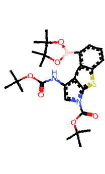 CC(C)(C)OC(=O)Nc1cn(C(=O)OC(C)(C)C)c2sc3cccc(B4OC(C)(C)C(C)(C)O4)c3c12